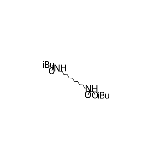 CCC(C)OCC(=O)NCCCCCCCCCCCNC(=O)C(C)CC